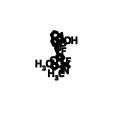 Cc1cc(-c2cc(F)c(COc3ccc4c(c3F)[C@]3(CCC4)C[C@H]3C(=O)O)cc2[C@H]2CCCC2(C)C)c(F)cn1